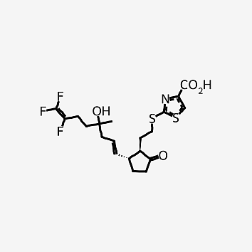 CC(O)(CC=C[C@H]1CCC(=O)[C@@H]1CCSc1nc(C(=O)O)cs1)CCC(F)=C(F)F